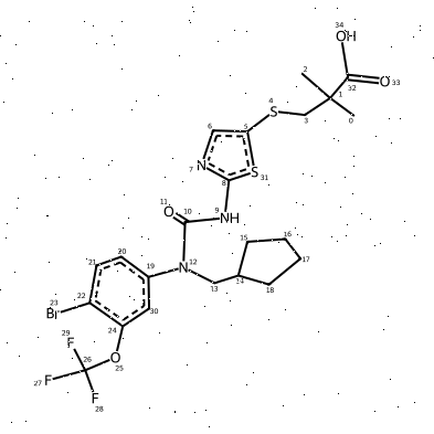 CC(C)(CSc1cnc(NC(=O)N(CC2CCCC2)c2ccc(Br)c(OC(F)(F)F)c2)s1)C(=O)O